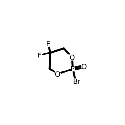 O=P1(Br)OCC(F)(F)CO1